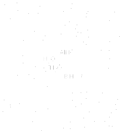 O.O.[AlH3].[BiH3]